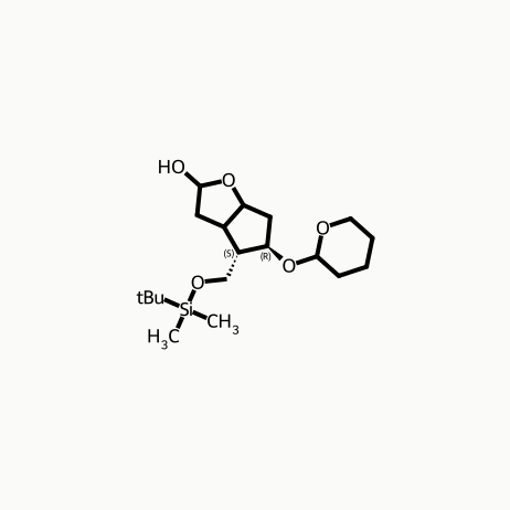 CC(C)(C)[Si](C)(C)OC[C@@H]1C2CC(O)OC2C[C@H]1OC1CCCCO1